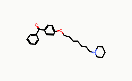 O=C(c1ccccc1)c1ccc(OCCCCCCCN2CCCCC2)cc1